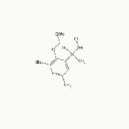 CCC(C)(PCl)c1cc(C)cc(C(C)(C)C)c1OCOC